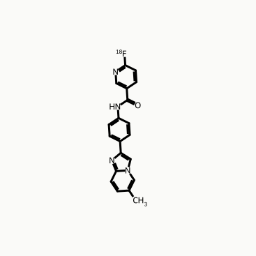 Cc1ccc2nc(-c3ccc(NC(=O)c4ccc([18F])nc4)cc3)cn2c1